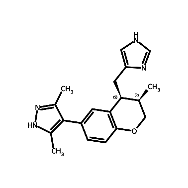 Cc1n[nH]c(C)c1-c1ccc2c(c1)[C@@H](Cc1c[nH]cn1)[C@@H](C)CO2